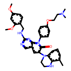 COc1ccc(CNc2ncc3cc(N4CCNc5c(C)cccc54)c(=O)n(-c4ccc(OCCN(C)C)cc4)c3n2)c(OC)c1